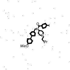 COc1ccc(-c2ccc(CN(C(=O)c3ccc(I)cc3)C3CCN(CCC(C)C)CC3)cc2)cc1